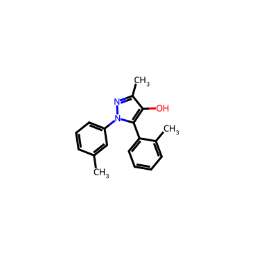 Cc1cccc(-n2nc(C)c(O)c2-c2ccccc2C)c1